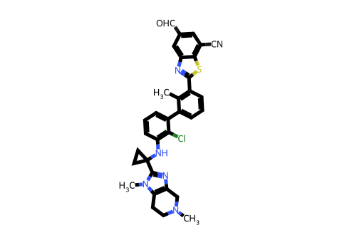 Cc1c(-c2nc3cc(C=O)cc(C#N)c3s2)cccc1-c1cccc(NC2(c3nc4c(n3C)CCN(C)C4)CC2)c1Cl